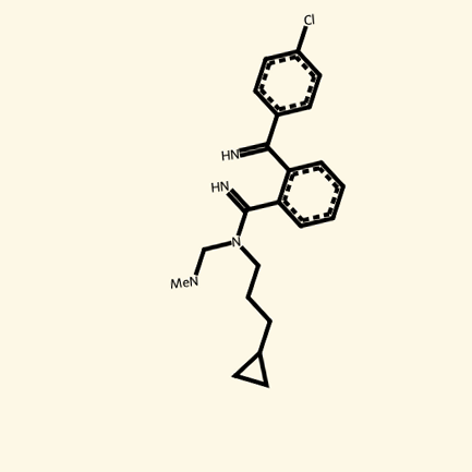 CNCN(CCCC1CC1)C(=N)c1ccccc1C(=N)c1ccc(Cl)cc1